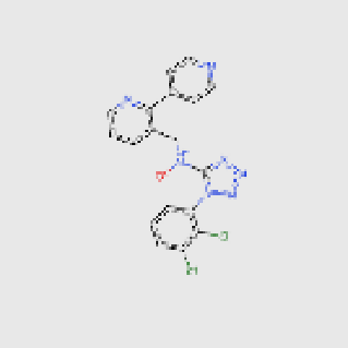 [O-][NH+](Cc1cccnc1-c1ccncc1)c1nnnn1-c1cccc(Cl)c1Cl